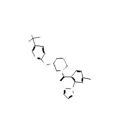 Cc1ccc(C(=O)N2CCC[C@H](Nc3ccc(C(F)(F)F)cn3)[C@H]2C)c(-n2nccn2)c1